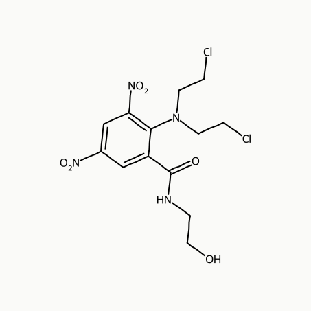 O=C(NCCO)c1cc([N+](=O)[O-])cc([N+](=O)[O-])c1N(CCCl)CCCl